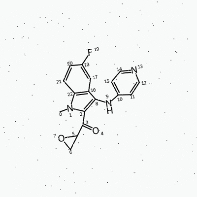 Cn1c(C(=O)C2CO2)c(Nc2ccncc2)c2cc(F)ccc21